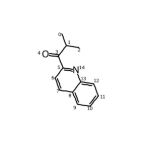 CC(C)C(=O)c1ccc2ccccc2n1